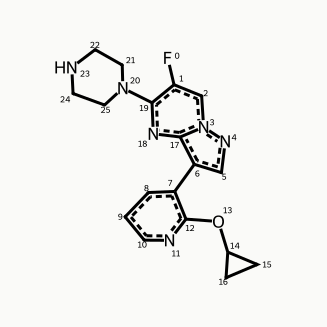 Fc1cn2ncc(-c3cccnc3OC3CC3)c2nc1N1CCNCC1